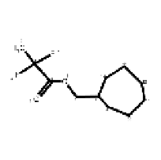 CC(F)(F)C(=O)OCC1CCCCCC1